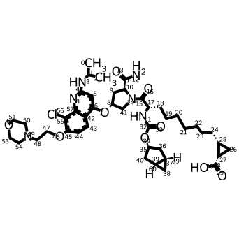 CC(C)Nc1cc(O[C@@H]2C[C@@H](C(N)=O)N(C(=O)[C@H](CCCCCCC[C@@H]3C[C@@H]3C(=O)O)NC(=O)O[C@@H]3C[C@@H]4C[C@@H]4C3)C2)c2ccc(OCCN3CCOCC3)c(Cl)c2n1